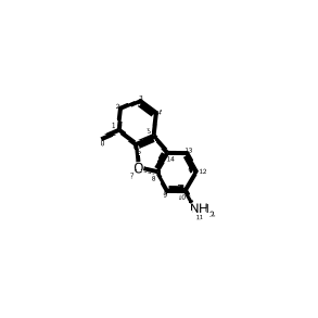 CC1CC=Cc2c1oc1cc(N)ccc21